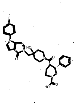 O=C(O)N1CC[C@@H](C(=O)N2CCC(O)(Cn3cnc4c(ccn4-c4ccc(F)cc4)c3=O)CC2)[C@H](c2ccccc2)C1